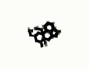 CC(C)O[C@]12C[C@@H](CO)CN(C)[C@@H]1Cc1c[nH]c3cccc2c13